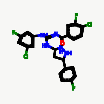 O=C(/N=C(/Nc1cc(F)cc(Cl)c1)NC1CC(c2ccc(F)cc2)NN1)c1ccc(Cl)c(F)c1